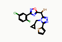 Fc1ccc(Cl)cc1-c1noc(C(S)c2nnc(-c3cccs3)n2CC2CC2)n1